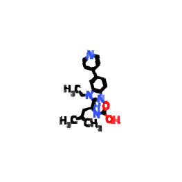 CCn1c(C(CC(C)C)NC(=O)O)nc2ccc(-c3ccncc3)cc21